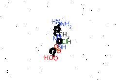 Cl.Cn1c(Cc2ccc(C(=N)N)cc2)nc2cc(NS(=O)(=O)c3cccc(C(=O)O)c3)ccc21